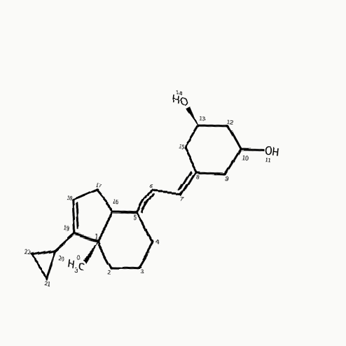 C[C@]12CCC/C(=C\C=C3\CC(O)C[C@H](O)C3)C1CC=C2C1CC1